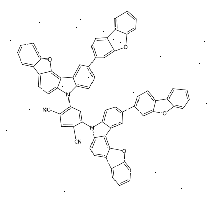 N#Cc1cc(C#N)c(-n2c3ccc(-c4ccc5c(c4)oc4ccccc45)cc3c3c4oc5ccccc5c4ccc32)cc1-n1c2ccc(-c3ccc4c(c3)oc3ccccc34)cc2c2c3oc4ccccc4c3ccc21